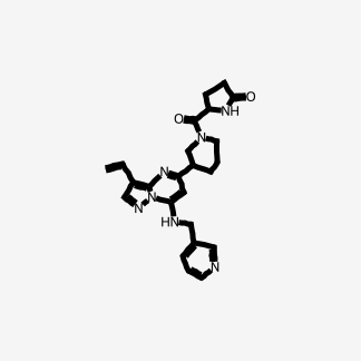 C=Cc1cnn2c(NCc3cccnc3)cc(C3CCCN(C(=O)C4CCC(=O)N4)C3)nc12